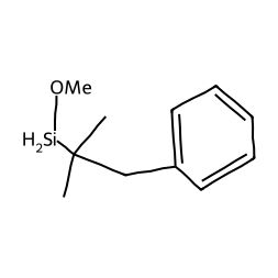 CO[SiH2]C(C)(C)Cc1ccccc1